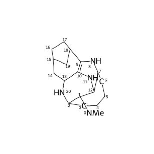 CNC1C2CCCCC3NC4=C(NC31)C(CC1CCC4C1)N2